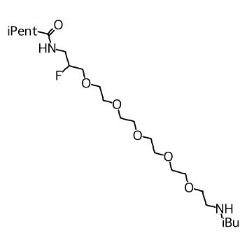 CCCC(C)C(=O)NCC(F)COCCOCCOCCOCCOCCNC(C)CC